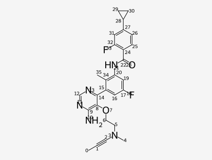 CC#CN(C)CCOc1c(N)ncnc1-c1cc(F)cc(NC(=O)c2ccc(C3CC3)cc2F)c1C